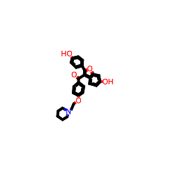 O=C(c1ccc(OCCN2CCCCC2)cc1)c1c(-c2ccc(O)cc2)oc2cc(O)ccc12